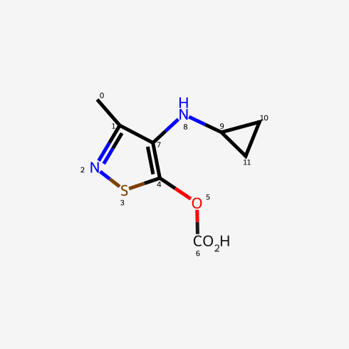 Cc1nsc(OC(=O)O)c1NC1CC1